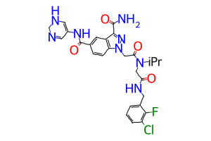 CC(C)N(CC(=O)NCc1cccc(Cl)c1F)C(=O)Cn1nc(C(N)=O)c2cc(C(=O)NC3=CNCN=C3)ccc21